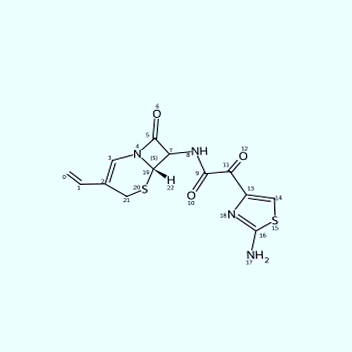 C=CC1=CN2C(=O)C(NC(=O)C(=O)c3csc(N)n3)[C@@H]2SC1